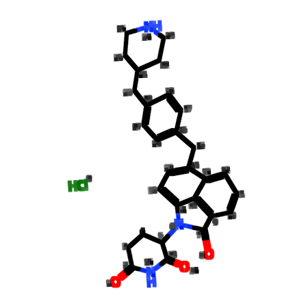 Cl.O=C1CCC(N2C(=O)c3cccc4c(Cc5ccc(CC6CCNCC6)cc5)ccc2c34)C(=O)N1